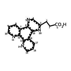 O=C(O)CCc1cnc2c3cccnc3c3ncccc3c2n1